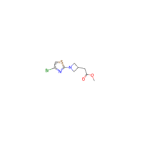 COC(=O)CC1CN(c2nc(Br)cs2)C1